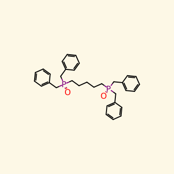 O=P(CCCCCP(=O)(Cc1ccccc1)Cc1ccccc1)(Cc1ccccc1)Cc1ccccc1